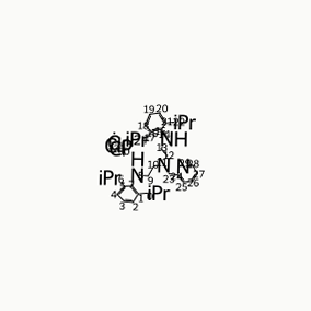 CC(C)c1cccc(C(C)C)c1NCCN(CCNc1c(C(C)C)cccc1C(C)C)Cc1ccccn1.[Cl-].[Cl-].[Co+2]